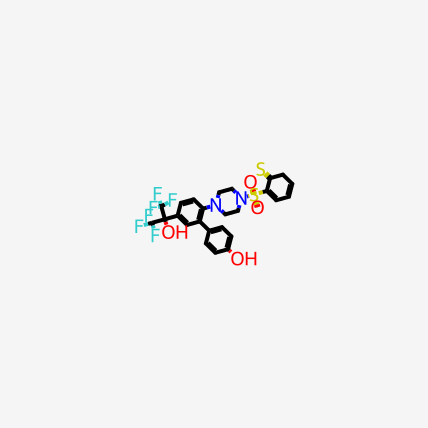 O=S(=O)(C1=CC=CCC1=S)N1CCN(c2ccc(C(O)(C(F)(F)F)C(F)(F)F)cc2-c2ccc(O)cc2)CC1